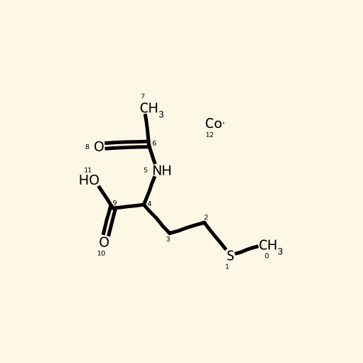 CSCCC(NC(C)=O)C(=O)O.[Co]